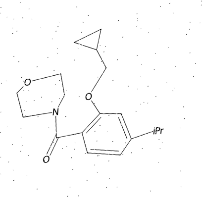 CC(C)c1ccc(C(=O)N2CCOCC2)c(OCC2CC2)c1